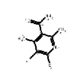 Cc1nc(Cl)c(I)c(C)c1C(N)=O